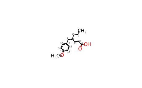 CCCC(C=CC(=O)O)=Cc1ccc(OC)cc1